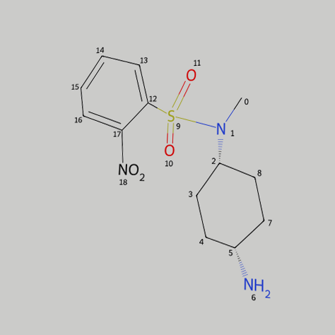 CN([C@H]1CC[C@@H](N)CC1)S(=O)(=O)c1ccccc1[N+](=O)[O-]